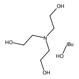 CCC(C)O.OCCN(CCO)CCO